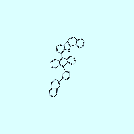 c1cc(-c2ccc3ccccc3c2)cc(-c2c3ccccc3c(-c3cccc4c3oc3c5ccccc5ccc43)c3ccccc23)c1